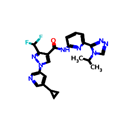 CC(C)n1cnnc1-c1cccc(NC(=O)c2cn(-c3cncc(C4CC4)c3)nc2C(F)F)n1